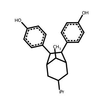 CC(C)C1CC2C(C)C(C1)C(c1ccc(O)cc1)C2c1ccc(O)cc1